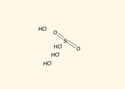 Cl.Cl.Cl.Cl.O=[Si]=O